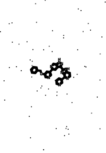 c1ccc(COc2cncc(-c3cc4c(-c5nc6c(-c7cccnc7)nccc6[nH]5)n[nH]c4cn3)c2)cc1